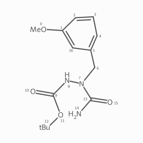 COc1cccc(CN(NC(=O)OC(C)(C)C)C(N)=O)c1